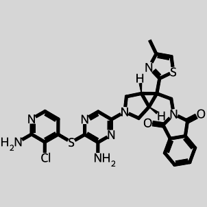 Cc1csc(C2(CN3C(=O)c4ccccc4C3=O)[C@@H]3CN(c4cnc(Sc5ccnc(N)c5Cl)c(N)n4)C[C@@H]32)n1